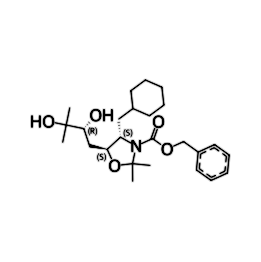 CC(C)(O)[C@H](O)C[C@@H]1OC(C)(C)N(C(=O)OCc2ccccc2)[C@H]1CC1CCCCC1